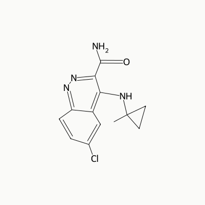 CC1(Nc2c(C(N)=O)nnc3ccc(Cl)cc23)CC1